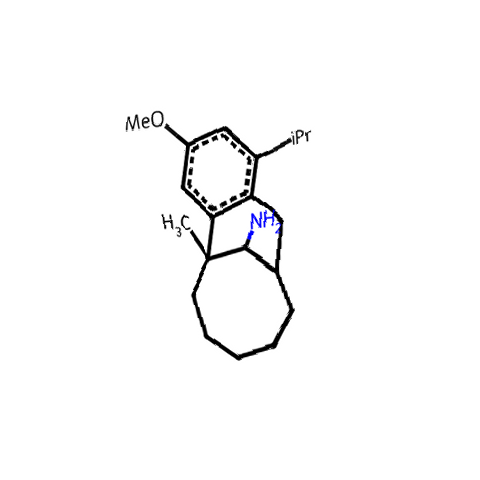 COc1cc(C(C)C)c2c(c1)C1(C)CCCCCC(C2)C1N